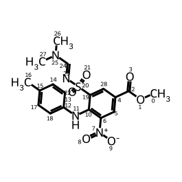 COC(=O)c1cc([N+](=O)[O-])c(Nc2ccc(C)cc2)c(S(=O)(=O)N=CN(C)C)c1